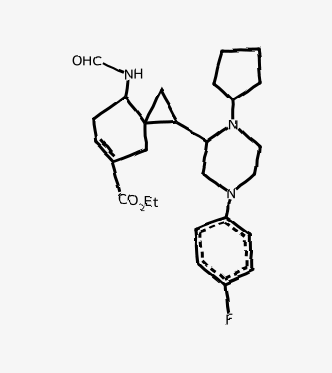 CCOC(=O)C1=CCC(NC=O)C2(C1)CC2C1CN(c2ccc(F)cc2)CCN1C1CCCC1